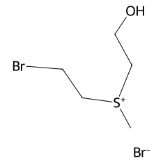 C[S+](CCO)CCBr.[Br-]